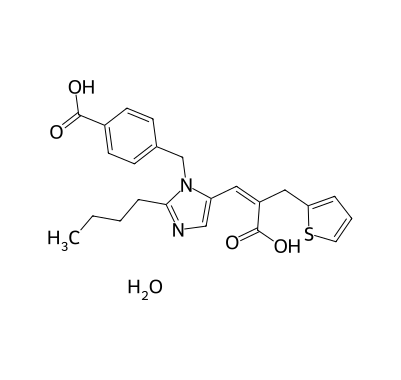 CCCCc1ncc(C=C(Cc2cccs2)C(=O)O)n1Cc1ccc(C(=O)O)cc1.O